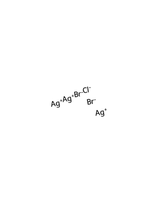 [Ag+].[Ag+].[Ag+].[Br-].[Br-].[Cl-]